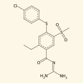 CCc1cc(Sc2ccc(Cl)cc2)c(S(C)(=O)=O)cc1C(=O)N=C(N)N